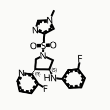 Cn1cnc(S(=O)(=O)N2C[C@@H](Nc3cccc(F)c3)[C@H](c3ncccc3F)C2)c1